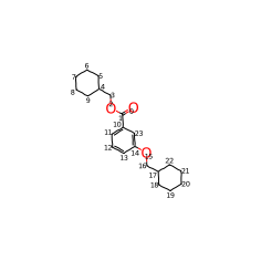 O=C(OCC1CCCCC1)c1cccc(OCC2CCCCC2)c1